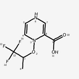 CC(ON1C=CNC=C1C(=O)O)C(F)(F)F